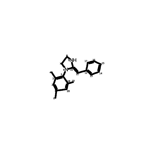 Cc1cc(C)c(N2CCNC2=Cc2ccccc2)c(C)c1